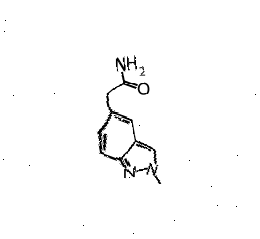 Cn1cc2cc(CC(N)=O)ccc2n1